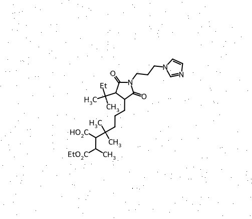 CCOC(=O)C(C)C(C(=O)O)C(C)(C)CCCC1C(=O)N(CCCn2ccnc2)C(=O)C1C(C)(C)CC